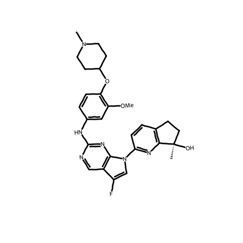 COc1cc(Nc2ncc3c(F)cn(-c4ccc5c(n4)[C@](C)(O)CC5)c3n2)ccc1OC1CCN(C)CC1